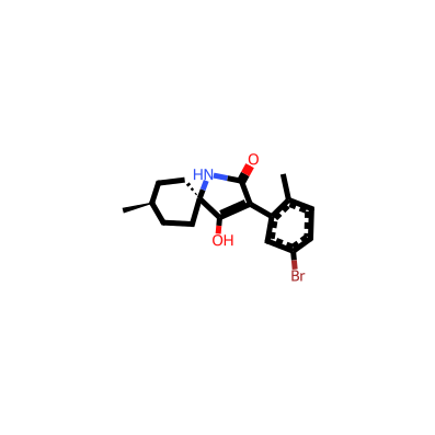 Cc1ccc(Br)cc1C1=C(O)[C@]2(CC[C@H](C)CC2)NC1=O